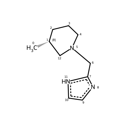 C[C@@H]1CCCN(Cc2ncc[nH]2)C1